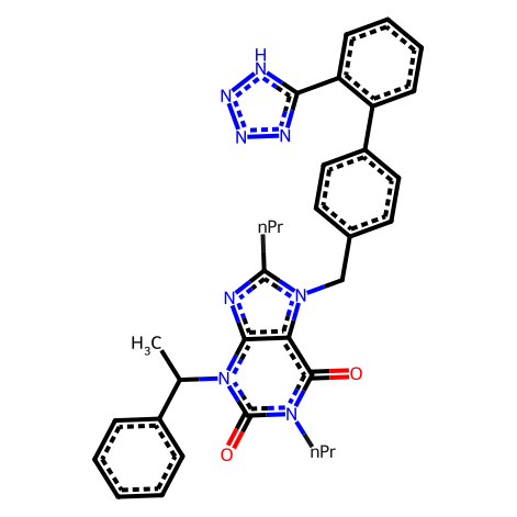 CCCc1nc2c(c(=O)n(CCC)c(=O)n2C(C)c2ccccc2)n1Cc1ccc(-c2ccccc2-c2nnn[nH]2)cc1